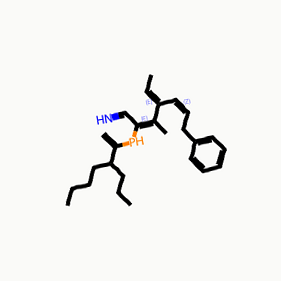 C=C(P/C(C=N)=C(C)/C(/C=C\Cc1ccccc1)=C/C)C(CCC)CCCC